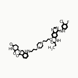 C=CC(=O)Nc1cc2c(Nc3ccc(F)c(Cl)c3)ncnc2cc1OCCCN1CCN(CCCNc2cccc3c2CN(C2CCC(=O)NC2=O)C3=O)CC1